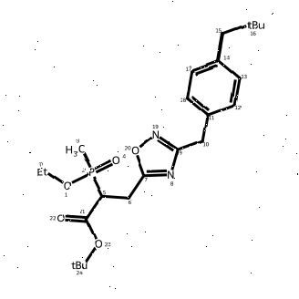 CCOP(C)(=O)C(Cc1nc(Cc2ccc(CC(C)(C)C)cc2)no1)C(=O)OC(C)(C)C